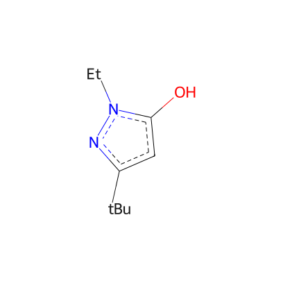 CCn1nc(C(C)(C)C)cc1O